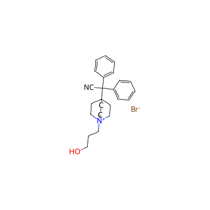 N#CC(c1ccccc1)(c1ccccc1)C12CC[N+](CCCO)(CC1)CC2.[Br-]